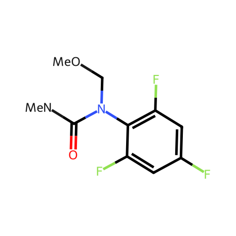 CNC(=O)N(COC)c1c(F)cc(F)cc1F